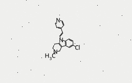 CN1CCc2c(c3cc(Cl)ccc3n2/C=C/c2ccncc2)C1